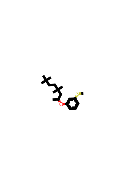 CSc1cccc(OC(C)CC(C)(C)CCC(C)(C)C)c1